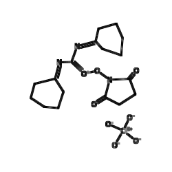 O=C1CCC(=O)N1O[O+]=C(N=C1CCCCC1)N=C1CCCCC1.[O-][Cl+3]([O-])([O-])[O-]